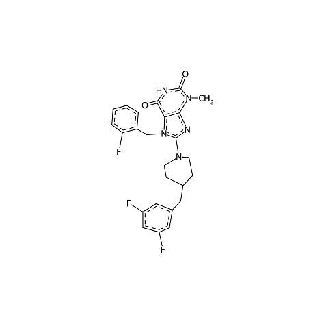 Cn1c(=O)[nH]c(=O)c2c1nc(N1CCC(Cc3cc(F)cc(F)c3)CC1)n2Cc1ccccc1F